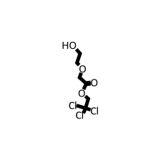 O=C(COCCO)OCC(Cl)(Cl)Cl